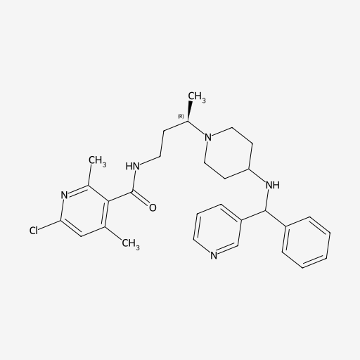 Cc1cc(Cl)nc(C)c1C(=O)NCC[C@@H](C)N1CCC(NC(c2ccccc2)c2cccnc2)CC1